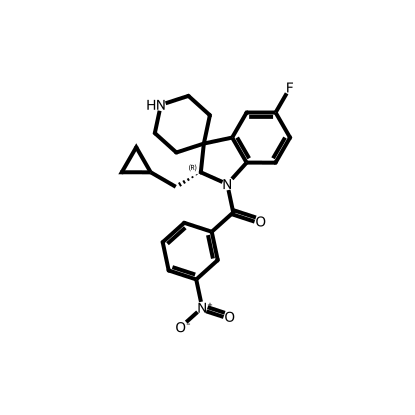 O=C(c1cccc([N+](=O)[O-])c1)N1c2ccc(F)cc2C2(CCNCC2)[C@H]1CC1CC1